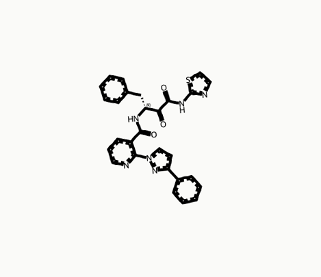 O=C(Nc1nccs1)C(=O)[C@@H](Cc1ccccc1)NC(=O)c1cccnc1-n1ccc(-c2ccccc2)n1